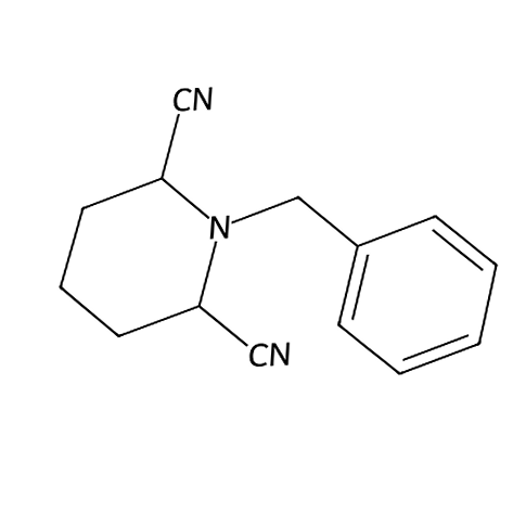 N#CC1CCCC(C#N)N1Cc1ccccc1